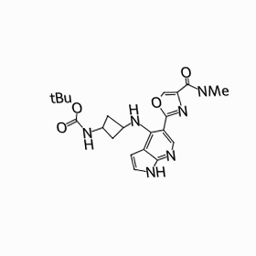 CNC(=O)c1coc(-c2cnc3[nH]ccc3c2NC2CC(NC(=O)OC(C)(C)C)C2)n1